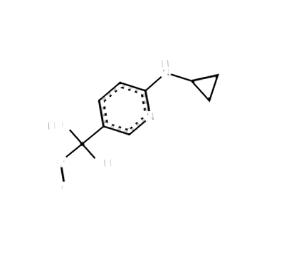 COC(C)(C)c1ccc(NC2CC2)nc1